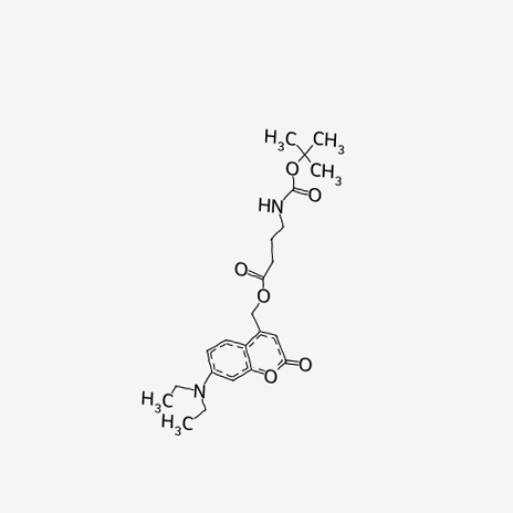 CCN(CC)c1ccc2c(COC(=O)CCCNC(=O)OC(C)(C)C)cc(=O)oc2c1